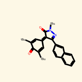 CC(C)(C)C1=CC(=C2C(=O)N(C(C)(C)C)N=C2c2ccc3ccccc3c2)C=C(C(C)(C)C)C1=O